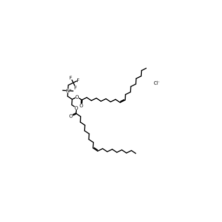 CCCCCCCC/C=C\CCCCCCCC(=O)OCC(C[N+](C)(C)CC(F)(F)F)OC(=O)CCCCCCC/C=C\CCCCCCCC.[Cl-]